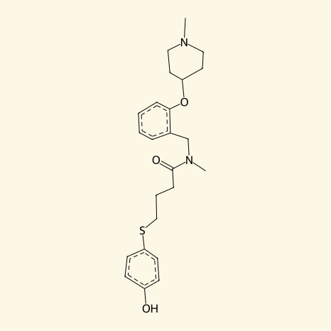 CN1CCC(Oc2ccccc2CN(C)C(=O)CCCSc2ccc(O)cc2)CC1